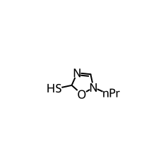 CCCN1C=NC(S)O1